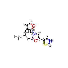 CC(C)CC1OC(c2cncs2)=[C]N1c1ccco1